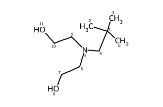 CC(C)(C)CN(CCO)CCO